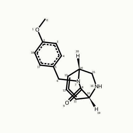 COc1ccc(CN2C(=O)[C@H]3C=C=C[C@@H]2CN3)cc1